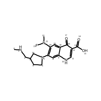 CNCC1CCN(c2cc3[nH]cc(C(=O)O)c(=O)c3cc2N(C)F)C1